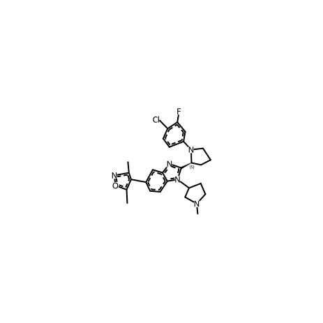 Cc1noc(C)c1-c1ccc2c(c1)nc([C@@H]1CCCN1c1ccc(Cl)c(F)c1)n2C1CCN(C)C1